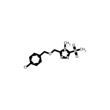 Cn1c(COCc2ccc(Cl)cc2)nnc1S(C)(=O)=O